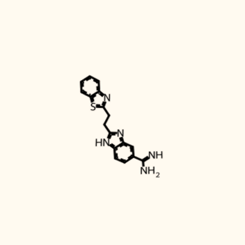 N=C(N)c1ccc2[nH]c(CCc3nc4ccccc4s3)nc2c1